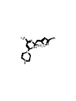 CC(C)c1cc(CC2(N)N=C(N)C=C(N3CCNCC3)N2)on1